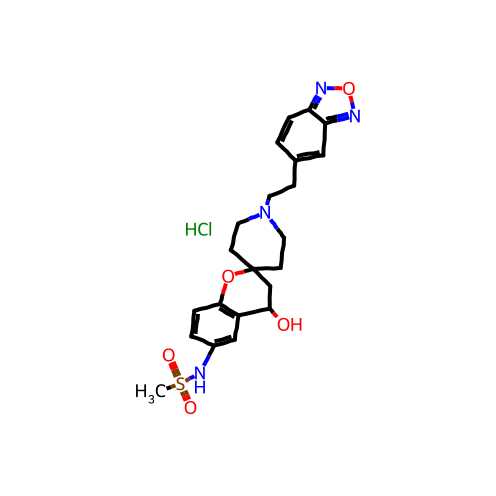 CS(=O)(=O)Nc1ccc2c(c1)C(O)CC1(CCN(CCc3ccc4nonc4c3)CC1)O2.Cl